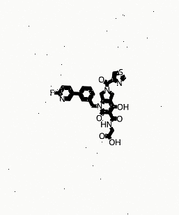 O=C(O)CNC(=O)c1c(O)c2c(n(Cc3cccc(-c4ccc(F)nc4)c3)c1=O)CN(C(=O)c1cscn1)C2